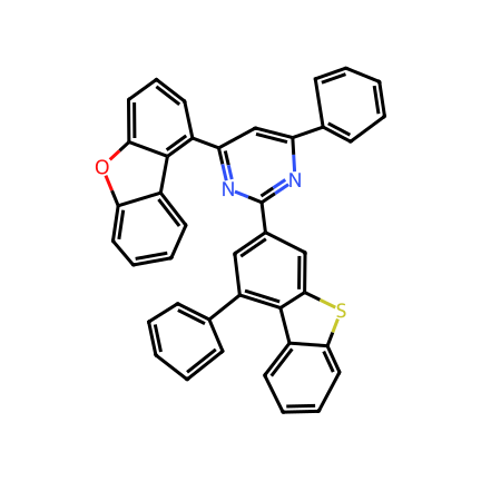 c1ccc(-c2cc(-c3cccc4oc5ccccc5c34)nc(-c3cc(-c4ccccc4)c4c(c3)sc3ccccc34)n2)cc1